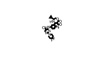 Cn1c(=O)c2c(c3cc(Nc4nc(N5CCC(F)(F)CC5)ncc4Cl)ccc31)NC(C1CC1)COC2=O